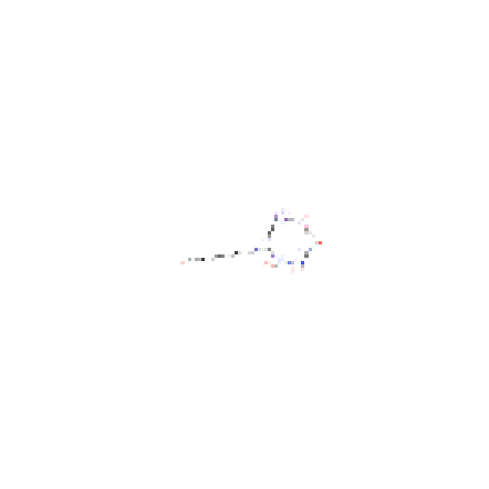 NCCCC[C@H](NC(=O)CC[C@H](NC(=O)CC[C@H](NC(=O)CC[C@H](NC(=O)CC[C@H](NC(=O)CCCCCCCCCCCCCCCCCCC(=O)O)C(=O)O)C(=O)O)C(=O)O)C(=O)O)C(N)=O